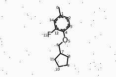 Cc1ccc(OCC2CCCC2)c(F)c1